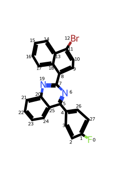 Fc1ccc(-c2nc(-c3ccc(Br)c4ccccc34)nc3ccccc23)cc1